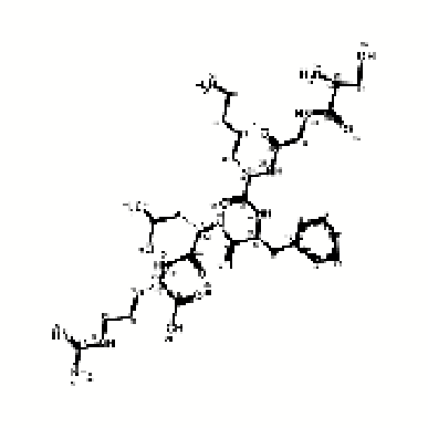 CC(C)C[C@H](NC(=O)[C@H](Cc1ccccc1)NC(=O)[C@H](CCCCN)NC(=O)CNC(=O)[C@@H](N)CO)C(=O)N[C@@H](CCCNC(=N)N)C(=O)O